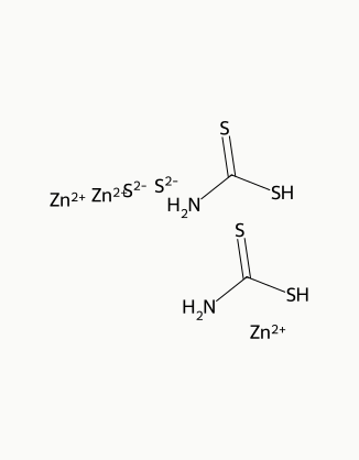 NC(=S)S.NC(=S)S.[S-2].[S-2].[Zn+2].[Zn+2].[Zn+2]